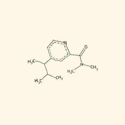 CC(C)C(C)c1ccnc(C(=O)N(C)C)c1